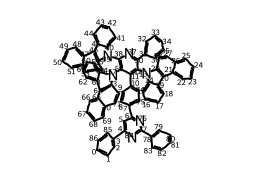 c1ccc(-c2cc(-c3ccc(-c4c(-n5c6ccccc6c6c7ccccc7ccc65)c(-c5ccccc5)nc(-n5c6ccccc6c6c7ccccc7ccc65)c4-n4c5ccccc5c5c6ccccc6ccc54)cc3)nc(-c3ccccc3)n2)cc1